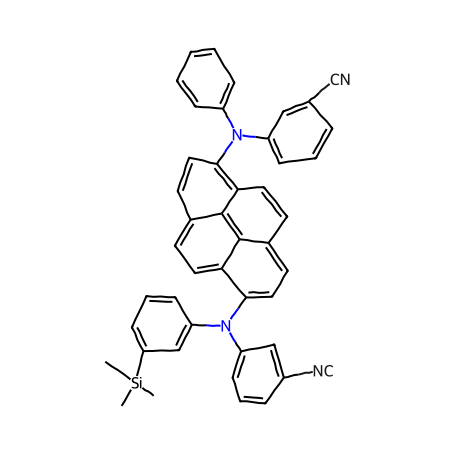 [C-]#[N+]c1cccc(N(c2cccc([Si](C)(C)C)c2)c2ccc3ccc4c(N(c5ccccc5)c5cccc(C#N)c5)ccc5ccc2c3c54)c1